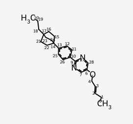 CCC=CCOc1cnc(-c2ccc(C34CCC(CCC)(CC3)CC4)cc2)nc1